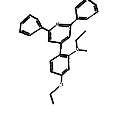 CCOc1ccc(-c2cc(-c3ccccc3)nc(-c3ccccc3)c2)c(N(C)CC)c1